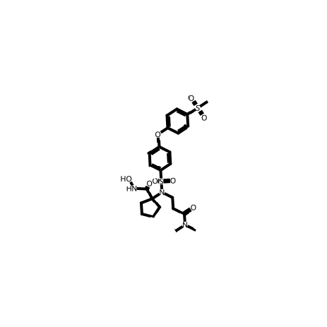 CN(C)C(=O)CCN(C1(C(=O)NO)CCCC1)S(=O)(=O)c1ccc(Oc2ccc(S(C)(=O)=O)cc2)cc1